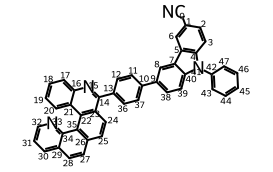 N#Cc1ccc2c(c1)c1cc(-c3ccc(-c4nc5ccccc5c5c4ccc4ccc6cccnc6c45)cc3)ccc1n2-c1ccccc1